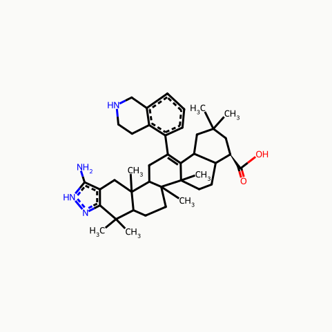 CC1(C)CC2C3=C(c4cccc5c4CCNC5)CC4C5(C)Cc6c(n[nH]c6N)C(C)(C)C5CCC4(C)C3(C)CCC2[C@H](C(=O)O)C1